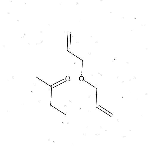 C=CCOCC=C.CCC(C)=O